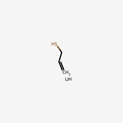 C=CCS.[LiH]